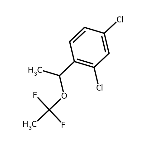 CC(OC(C)(F)F)c1ccc(Cl)cc1Cl